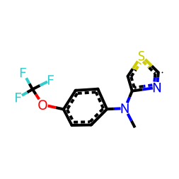 CN(c1ccc(OC(F)(F)F)cc1)c1cs[c]n1